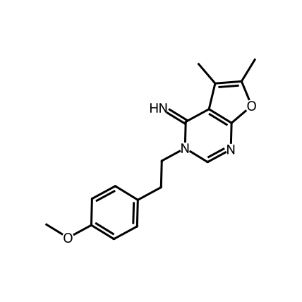 COc1ccc(CCn2cnc3oc(C)c(C)c3c2=N)cc1